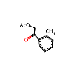 C.CC(=O)OCC(=O)c1ccccc1